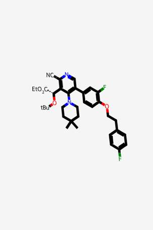 CCOC(=O)[C@@H](OC(C)(C)C)c1c(C#N)ncc(-c2ccc(OCCc3ccc(F)cc3)c(F)c2)c1N1CCC(C)(C)CC1